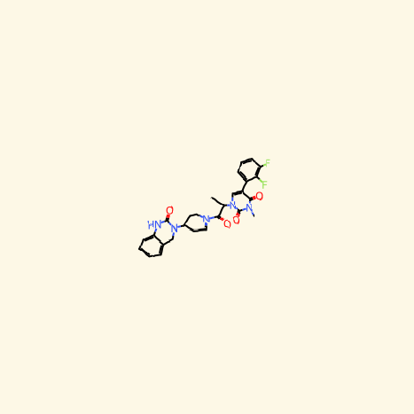 CC(C(=O)N1CCC(N2Cc3ccccc3NC2=O)CC1)n1cc(-c2cccc(F)c2F)c(=O)n(C)c1=O